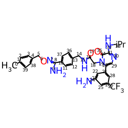 Cc1ccc(CO/N=C(\N)c2ccc(CNC(=O)Cn3c(-c4cc(N)cc(C(F)(F)F)c4)cnc(NC(C)C)c3=O)cc2)cc1